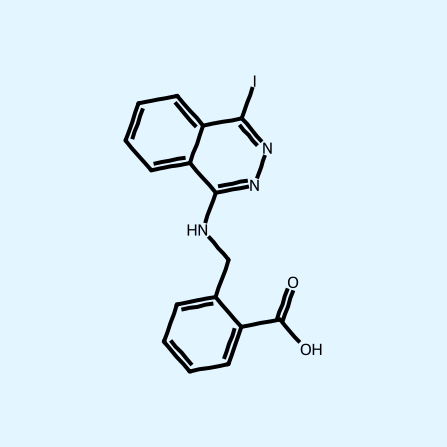 O=C(O)c1ccccc1CNc1nnc(I)c2ccccc12